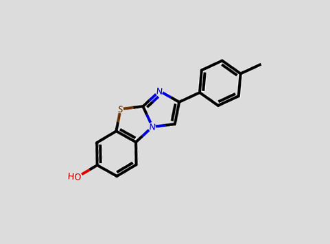 Cc1ccc(-c2cn3c(n2)sc2cc(O)ccc23)cc1